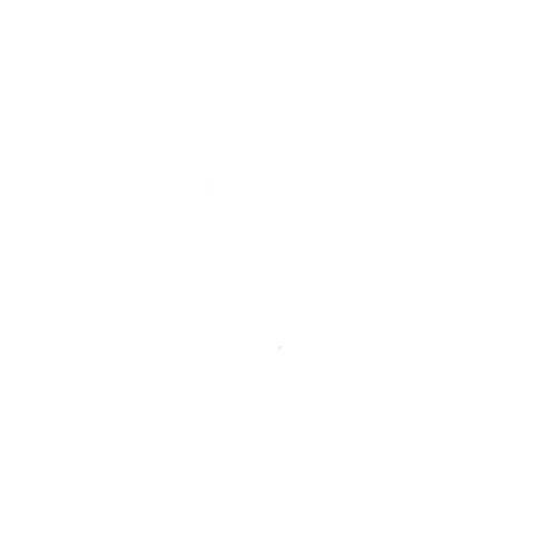 c1ccc2c3c(ccc2c1)-c1cccc2cccc(c12)N3c1cccc2c(-c3nc(-c4cccc5oc6ccccc6c45)c4sc5ccccc5c4n3)cccc12